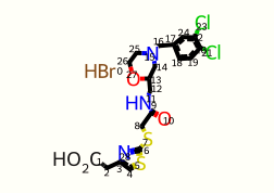 Br.O=C(O)Cc1csc(SCC(=O)NCC2CN(Cc3ccc(Cl)c(Cl)c3)CCO2)n1